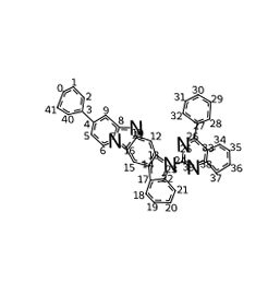 c1ccc(-c2ccn3c(c2)nc2cc4c(cc23)c2ccccc2n4-c2nc(-c3ccccc3)c3ccccc3n2)cc1